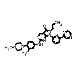 C=CCn1c(=O)c2cnc(Nc3ccc(N4CCN(C)CC4)c(C)c3)nc2n1-c1cccc(-c2cnccn2)n1